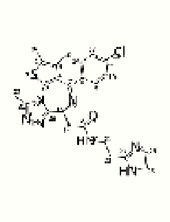 Cc1sc2c(c1C)C(c1ccc(Cl)cc1)=N[C@@H](CC(=O)NCCc1ncc[nH]1)c1nnc(C)n1-2